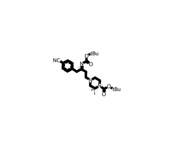 C[C@@H]1CN(CC/C(Cc2ccc(C#N)cc2)=N\C(=O)OC(C)(C)C)CCN1C(=O)OC(C)(C)C